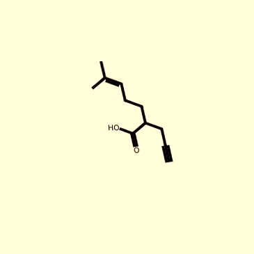 C#CCC(CCC=C(C)C)C(=O)O